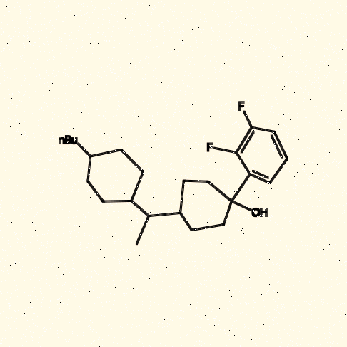 CCCCC1CCC(C(C)C2CCC(O)(c3cccc(F)c3F)CC2)CC1